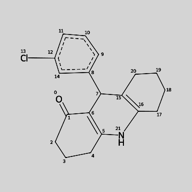 O=C1CCCC2=C1C(c1cccc(Cl)c1)C1=C(CCCC1)N2